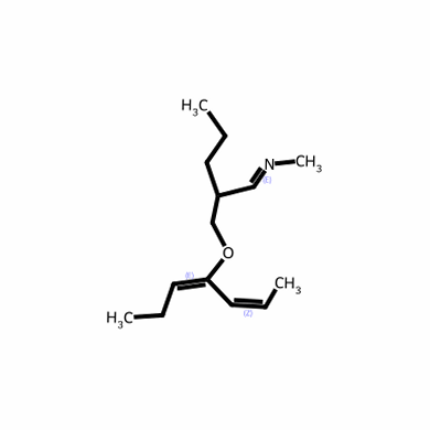 C/C=C\C(=C/CC)OCC(/C=N/C)CCC